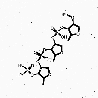 CC(C)O[C@H]1COC(C)[C@H]1OP(=O)(O)O[C@H]1COC(C)[C@H]1OP(=O)(O)O[C@H]1COC(C)[C@H]1OP(=O)(O)C(C)C